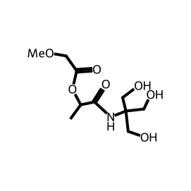 COCC(=O)OC(C)C(=O)NC(CO)(CO)CO